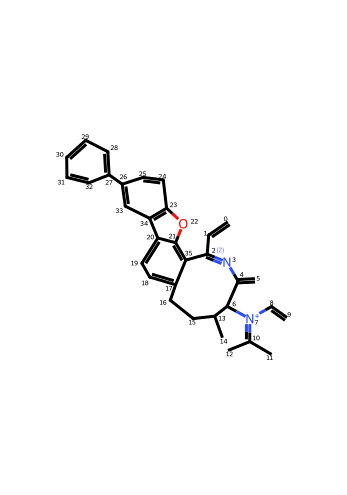 C=C/C1=N/C(=C)C([N+](C=C)=C(C)C)C(C)CCc2ccc3c(oc4ccc(-c5ccccc5)cc43)c21